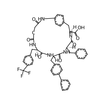 O=C1CCC(=O)N[C@H](Cc2ccc(C(F)(F)F)cc2)C(=O)N[C@@H](Cc2ccc(-c3ccccc3)cc2)C(=O)N[C@H](Cc2ccccc2)C(=O)N[C@H](C(=O)O)Cc2ccc(cc2)N1